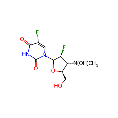 CN(O)[C@H]1[C@H](F)C(n2cc(F)c(=O)[nH]c2=O)O[C@@H]1CO